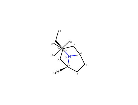 CC[C@H]1CC2CC[C@H](C1)N2C(C)(C)C